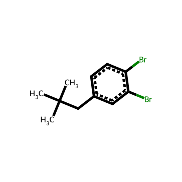 CC(C)(C)Cc1ccc(Br)c(Br)c1